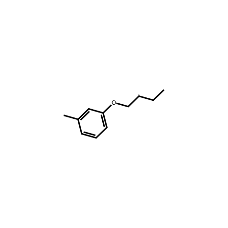 CC[CH]COc1cccc(C)c1